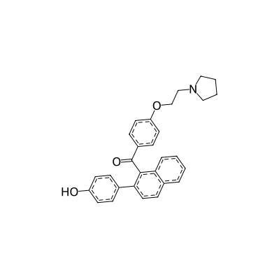 O=C(c1ccc(OCCN2CCCC2)cc1)c1c(-c2ccc(O)cc2)ccc2ccccc12